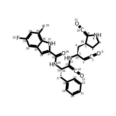 O=C=C[C@H](C[C@@H]1CCNC1=C=O)NC(=C=O)[C@H](Cc1ccccc1)NC(=O)c1cc2cc(F)cc(F)c2[nH]1